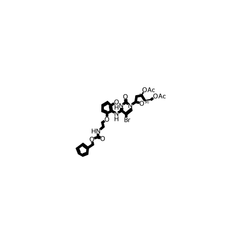 CC(=O)OC[C@H]1OC(n2cc(Br)c(Nc3c(O)cccc3OCCNC(=O)OCc3ccccc3)nc2=O)C[C@H]1OC(C)=O